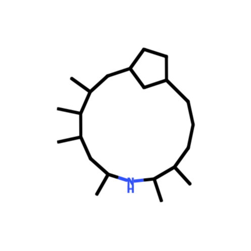 CC1CC(C)C(C)C(C)CC2CCC(CCCC(C)C(C)N1)C2